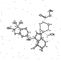 CC(C)(C)OC(=O)[C@H]1CC[C@](CC#N)(n2nc(Nc3ccc4c(c3)CN(C(C)(C)C)S4(O)O)c3c(=O)[nH]ccc32)CO1